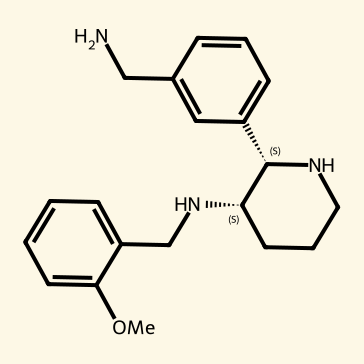 COc1ccccc1CN[C@H]1CCCN[C@H]1c1cccc(CN)c1